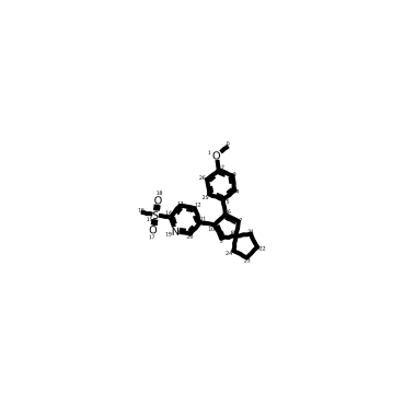 COc1ccc(C2=CC3(C=C2c2ccc(S(C)(=O)=O)nc2)CCCC3)cc1